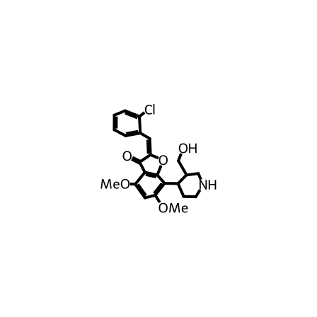 COc1cc(OC)c(C2CCNCC2CO)c2c1C(=O)/C(=C\c1ccccc1Cl)O2